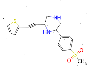 CS(=O)(=O)c1ccc(C2CNCC(C#Cc3cccs3)N2)cc1